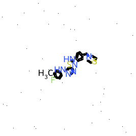 Cc1cc(Nc2ncnc3nc(Nc4ccc(CN5CCSCC5)cc4)sc23)ccc1F